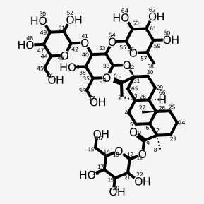 C=C1C[C@@]23CCC4[C@](C)(C(=O)OC5OC(CO)C(O)C(O)C5O)CCC[C@@]4(C)[C@@H]2CC[C@]1(OC1OC(CO)C(O)C(OC2OC(CO)C(O)C(O)C2O)C1OC1OC(C)C(O)C(O)C1O)C3